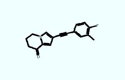 Cc1cc(C#Cc2cc3n(c2)CCCC3=O)ccc1F